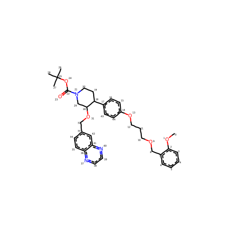 COc1ccccc1COCCCOc1ccc(C2CCN(C(=O)OC(C)(C)C)CC2OCc2ccc3nccnc3c2)cc1